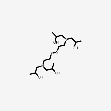 CC(O)CN(CCSSCCN(CC(C)O)CC(C)O)CC(C)O